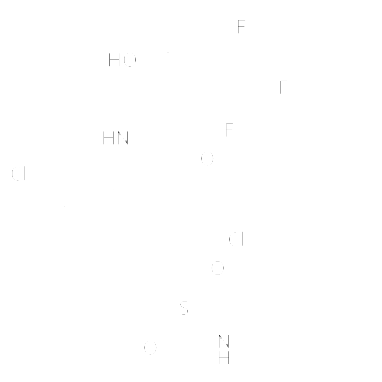 C[C@@](O)(C(=O)Nc1cc(S(=O)(=O)Nc2ccccc2Cl)ccc1Cl)C(F)(F)F